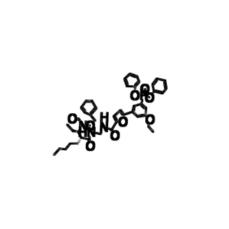 CCCCC[C@@H](C(=O)NCNC(=O)c1ccc(-c2cc(OCC)cc(P(=O)(Oc3ccccc3)Oc3ccccc3)c2)o1)[C@@H](CC)N(C=O)OCc1ccccc1